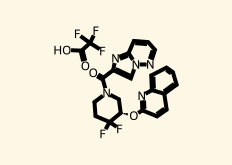 O=C(O)C(F)(F)F.O=C(c1cn2ncccc2n1)N1CCC(F)(F)[C@@H](Oc2ccc3ccccc3n2)C1